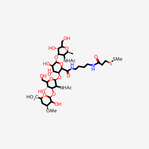 CO[C@H]1CC(C(=O)O)O[C@@H](O[C@@H]2C(NC(C)=O)[C@H](O[C@@H]3C(C(=O)NCCCCNC(=O)CCSSC)O[C@@H](O[C@@H]4C(NC(C)=O)[C@H](C)OC(CO)[C@H]4O)C(O)[C@H]3O)OC(CO)[C@H]2O)C1O